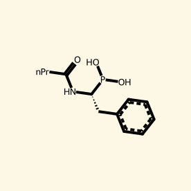 CCCC(=O)N[C@@H](Cc1ccccc1)P(O)O